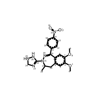 COc1cc2c(cc1OC)C(c1ccc([N+](=O)[O-])cc1)=NN(C1=NCNN1)C(C)C2